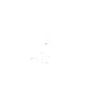 C=C(C)C(=O)OC1CC2CC(C(=O)OCOCC3CCCCC3)C1C2